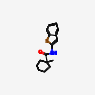 CC1(C(=O)Nc2cc3ccccc3s2)CCCCC1